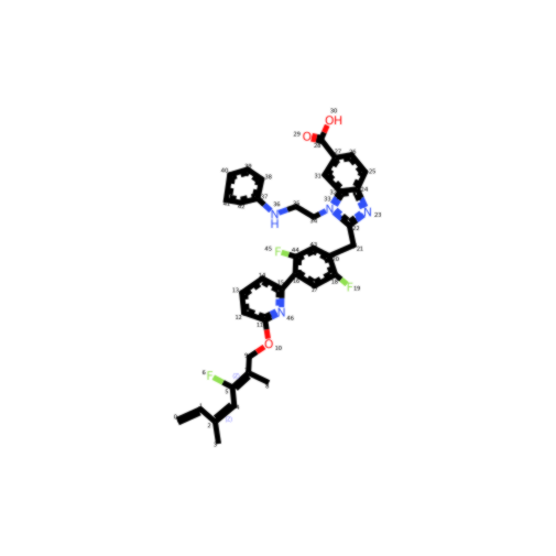 C=C/C(C)=C\C(F)=C(/C)COc1cccc(-c2cc(F)c(Cc3nc4ccc(C(=O)O)cc4n3CCNc3ccccc3)cc2F)n1